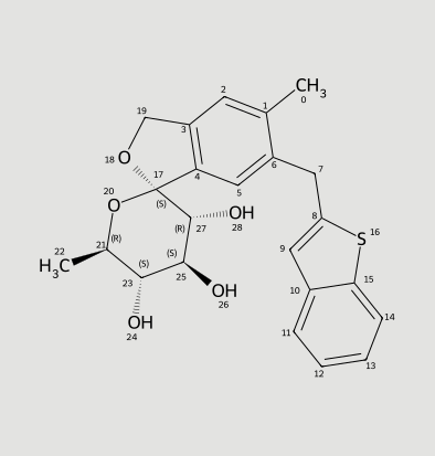 Cc1cc2c(cc1Cc1cc3ccccc3s1)[C@]1(OC2)O[C@H](C)[C@@H](O)[C@H](O)[C@H]1O